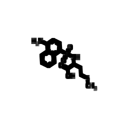 CSCCC(NS(=O)(=O)c1ccc(N)c2ccccc12)C(=O)O